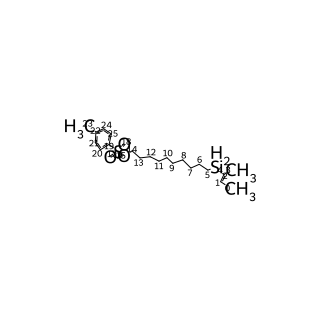 CC=C(C)[SiH2]CCCCCCCCCCOS(=O)(=O)c1ccc(C)cc1